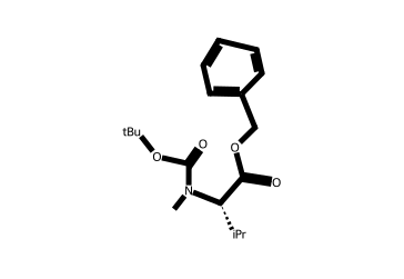 CC(C)[C@@H](C(=O)OCc1ccccc1)N(C)C(=O)OC(C)(C)C